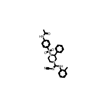 CC(=O)Nc1ccc(S(=O)(=O)N2CCN(/C(=N\C#N)Nc3ccccc3C)CC2c2ccccc2)cc1